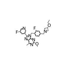 CCOC1CN(Cc2ccc(Cn3c(-c4cncc(F)c4)nc4c(C)nc(OC)nc43)c(F)c2)C1